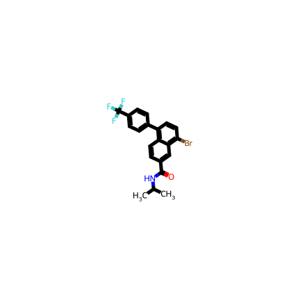 CC(C)NC(=O)c1ccc2c(-c3ccc(C(F)(F)F)cc3)ccc(Br)c2c1